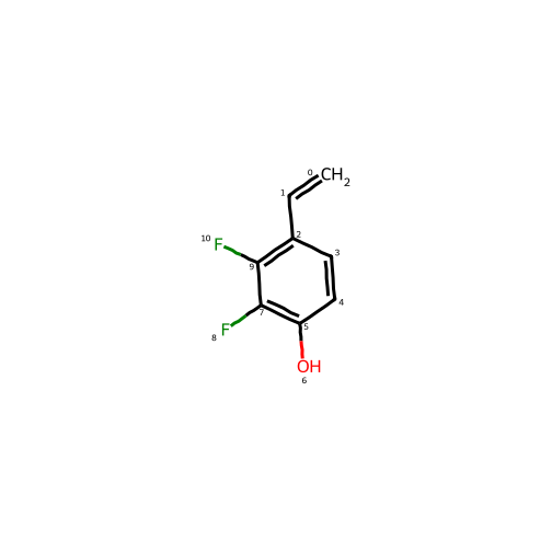 C=Cc1ccc(O)c(F)c1F